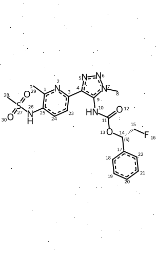 Cc1nc(-c2nnn(C)c2NC(=O)O[C@H](CF)c2ccccc2)ccc1NS(C)(=O)=O